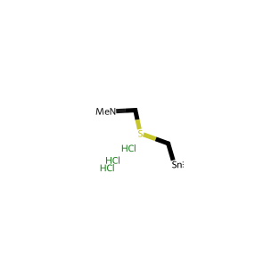 CNCS[CH2][Sn].Cl.Cl.Cl